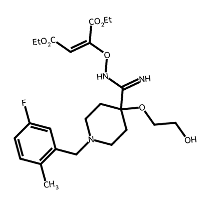 CCOC(=O)C=C(ONC(=N)C1(OCCO)CCN(Cc2cc(F)ccc2C)CC1)C(=O)OCC